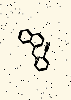 N#Cc1cccc[n+]1Cc1cccc2ccccc12